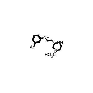 CC(=O)c1cccc(NCC[C@@H]2CN(C(=O)O)CCN2)c1